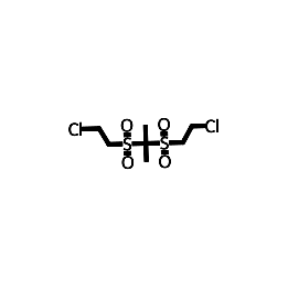 CC(C)(S(=O)(=O)CCCl)S(=O)(=O)CCCl